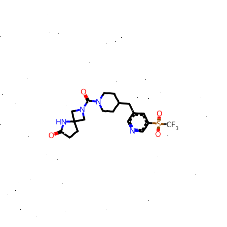 O=C1CCC2(CN(C(=O)N3CCC(Cc4cncc(S(=O)(=O)C(F)(F)F)c4)CC3)C2)N1